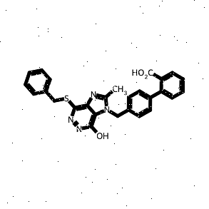 Cc1nc2c(SCc3ccccc3)nnc(O)c2n1Cc1ccc(-c2ccccc2C(=O)O)cc1